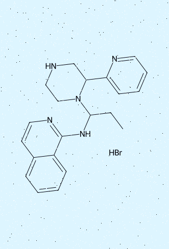 Br.CCC(Nc1nccc2ccccc12)N1CCNCC1c1ccccn1